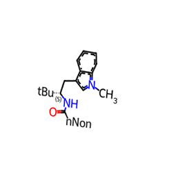 CCCCCCCCCC(=O)N[C@@H](Cc1cn(C)c2ccccc12)C(C)(C)C